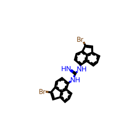 N=C(Nc1ccc2c3c(cccc13)C=C2Br)Nc1ccc2c3c(cccc13)C=C2Br